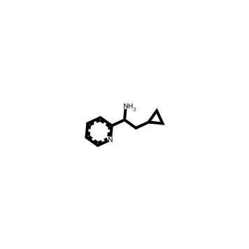 NC(CC1CC1)c1ccccn1